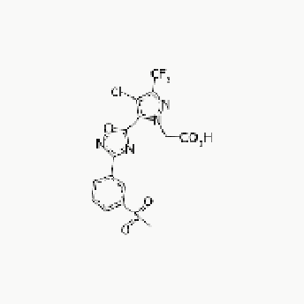 CS(=O)(=O)c1cccc(-c2noc(-c3c(Cl)c(C(F)(F)F)nn3CC(=O)O)n2)c1